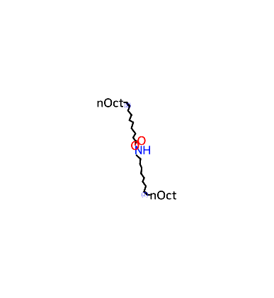 CCCCCCCC/C=C\CCCCCCCCNOC(=O)CCCCCCC/C=C\CCCCCCCC